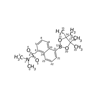 CN(C)S(=O)(=O)c1cccc2c(B3OC(C)(C)C(C)(C)O3)cccc12